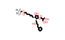 CC(C)OC(=O)CCC/C=C/C[C@@H]1[C@@H](CC[C@@H](O)CCc2ccccc2)[C@H](OC(=O)C(CO)CO)C[C@@H]1O